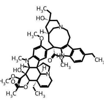 CCc1ccc2[nH]c3c(c2c1)CCN1C[C@H](C[C@@](O)(CC)C1)C[C@]3(C(=O)OC)c1cc2c(cc1OC)N(C)[C@H]1[C@@](O)(C(=O)OC)[C@H](OC(C)=O)[C@]3(CC)C=CCN4CC[C@]21[C@@H]43